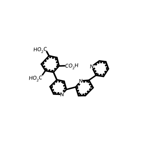 O=C(O)c1cc(C(=O)O)c(-c2ccnc(-c3cccc(-c4ccccn4)n3)c2)c(C(=O)O)c1